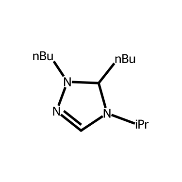 CCCCC1N(CCCC)N=CN1C(C)C